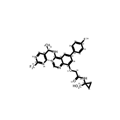 C[C@@H](Nc1ncnc2c(OCC(=O)NC3(C(=O)O)CC3)cc(-c3ccc(F)cc3)cc12)c1cnc(C(F)(F)F)nc1